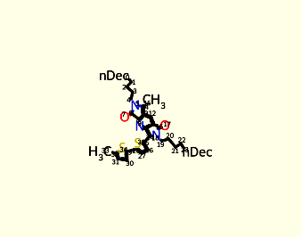 CCCCCCCCCCCCCCN1C(=O)c2nc3c(cc2=C1C)C(=O)N(CCCCCCCCCCCCCC)C=3c1ccc(-c2ccc(C)s2)s1